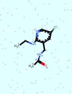 CCNc1ncc(Cl)cc1CNC(C)=O